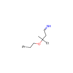 CCC(C)(CC=N)OCCC(C)C